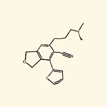 CN(C)CCCc1cc2c(c(-c3cccs3)c1C#N)COC2